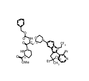 CCC(C)(C)Cc1c(-c2cccnc2C(C)C)n(CC(F)(F)F)c2ccc(N3CCO[C@@H](C[C@H](NC(=O)OCc4ccccc4)C(=O)N4CCC[C@@H](C(=O)OC)N4)C3)cc12